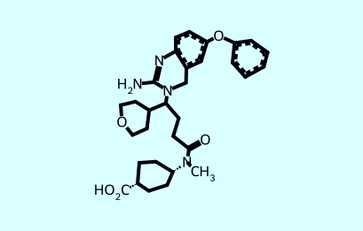 CN(C(=O)CCC(C1CCOCC1)N1Cc2cc(Oc3ccccc3)ccc2N=C1N)[C@H]1CC[C@@H](C(=O)O)CC1